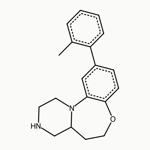 Cc1ccccc1-c1ccc2c(c1)N1CCNCC1CCO2